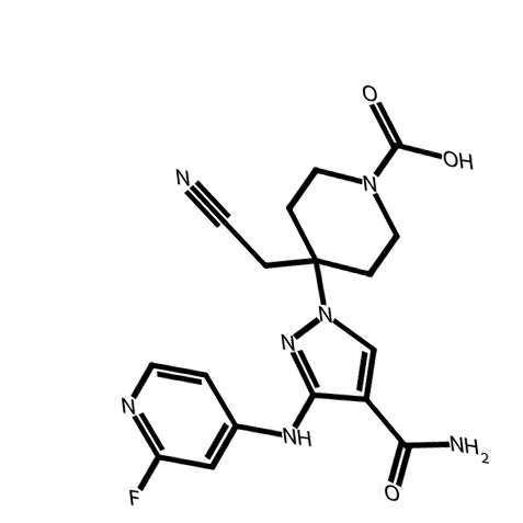 N#CCC1(n2cc(C(N)=O)c(Nc3ccnc(F)c3)n2)CCN(C(=O)O)CC1